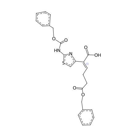 O=C(CC/C=C(/C(=O)O)c1csc(NC(=O)OCc2ccccc2)n1)OCc1ccccc1